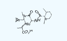 C/C(=C\C(C(C)C)N(C)C(=O)C(NC(=O)C1C(C)CCCN1C)C(C)(C)C)C(=O)O